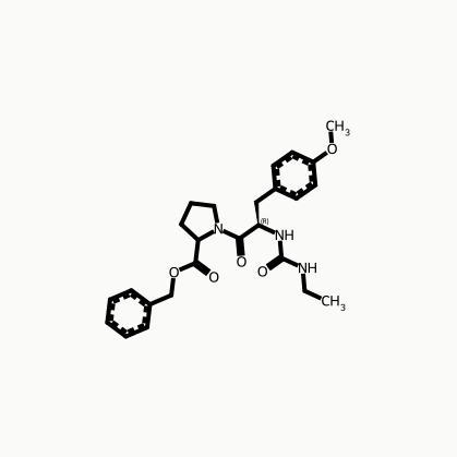 CCNC(=O)N[C@H](Cc1ccc(OC)cc1)C(=O)N1CCCC1C(=O)OCc1ccccc1